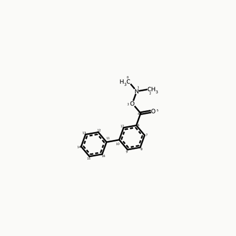 CN(C)OC(=O)c1cccc(-c2ccccc2)c1